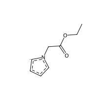 CCOC(=O)Cn1[c]ccc1